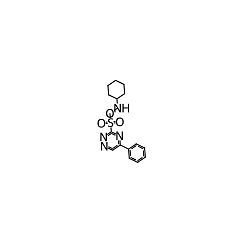 O=S(=O)(ONC1CCCCC1)c1nncc(-c2ccccc2)n1